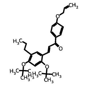 C=CCOc1ccc(C(=O)C=Cc2cc(CCC)c(OC(C)(C)C)cc2OC(C)(C)C)cc1